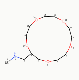 CCNCC1COCCOCCOCCOCCO1